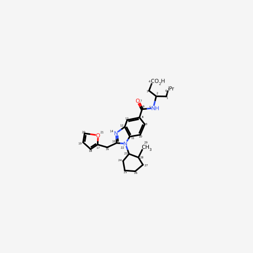 CC(C)CC(CC(=O)O)NC(=O)c1ccc2c(c1)nc(Cc1ccco1)n2C1CCCCC1C